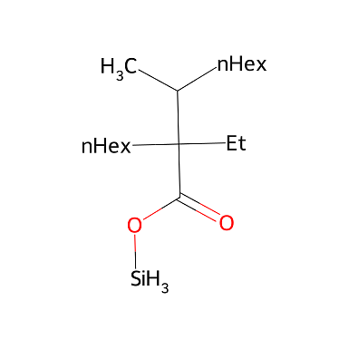 CCCCCCC(C)C(CC)(CCCCCC)C(=O)O[SiH3]